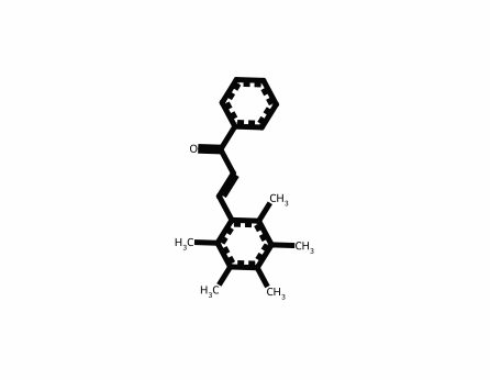 Cc1c(C)c(C)c(C=CC(=O)c2ccccc2)c(C)c1C